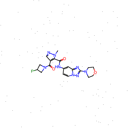 Cn1ncc(C(=O)N2CC(F)C2)c1C(=O)Nc1ccn2nc(N3CCOCC3)nc2c1